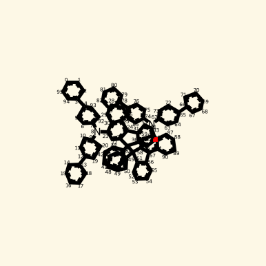 c1ccc(-c2ccc(N(c3ccc(-c4ccccc4)cc3)c3cc4c(c5ccccc35)-c3ccccc3C4(c3ccccc3)C3(c4ccccc4)c4ccccc4-c4c3cc(N(c3ccc(-c5ccccc5)cc3)c3ccc(-c5ccccc5)cc3)c3ccccc43)cc2)cc1